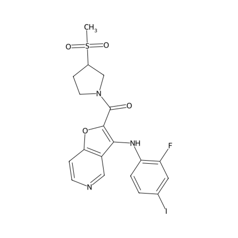 CS(=O)(=O)C1CCN(C(=O)c2oc3ccncc3c2Nc2ccc(I)cc2F)C1